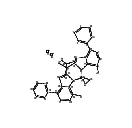 Cc1ccc(-c2ccccc2)c2c1[CH]([Zr+2]1([CH]3C(C(C)C)=Cc4c(-c5ccccc5)ccc(C)c43)[CH2][CH2]1)C(C(C)C)=C2.[Cl-].[Cl-]